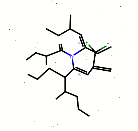 C=C(/C=C(/C(CCC)C(C)CCC)N(C(=C)C(C)CC)/C(=C\C(C)CC)CC)C(F)F